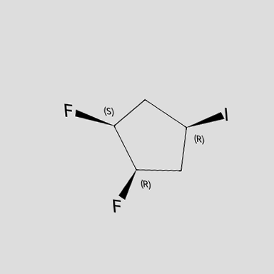 F[C@@H]1C[C@H](I)C[C@@H]1F